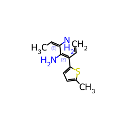 C=C/C(=C(N)\C(N)=C/C)c1ccc(C)s1